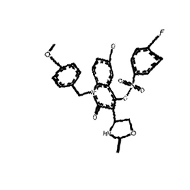 COc1ccc(Cn2c(=O)c(C3COC(C)N3)c(OS(=O)(=O)c3ccc(F)cc3)c3cc(Cl)ccc32)cc1